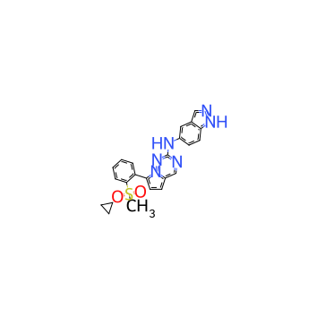 C1CC1.CS(=O)(=O)c1ccccc1-c1ccc2cnc(Nc3ccc4[nH]ncc4c3)nn12